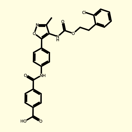 Cc1noc(-c2ccc(NC(=O)c3ccc(C(=O)O)cc3)cc2)c1NC(=O)OCCc1ccccc1Cl